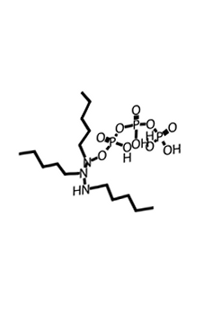 CCCCCNN(CCCCC)N(CCCCC)OP(=O)(O)OP(=O)(O)OP(=O)(O)O